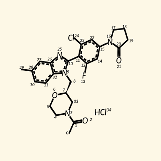 CC(=O)N1CCO[C@@H](Cn2c(-c3c(F)cc(N4CCCC4=O)cc3Cl)nc3cc(C)ccc32)C1.Cl